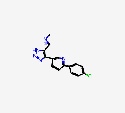 C/N=C/c1[nH]nnc1-c1ccc(-c2ccc(Cl)cc2)nc1